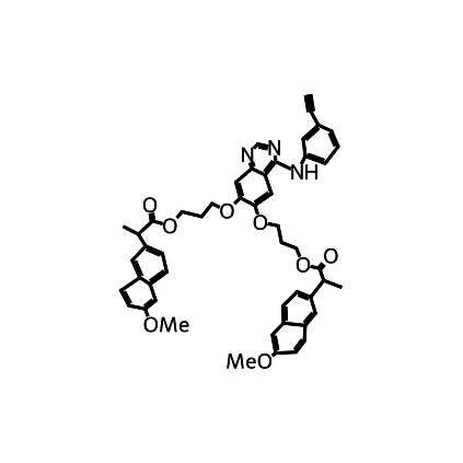 C#Cc1cccc(Nc2ncnc3cc(OCCCOC(=O)C(C)c4ccc5cc(OC)ccc5c4)c(OCCCOC(=O)C(C)c4ccc5cc(OC)ccc5c4)cc23)c1